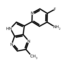 Cc1cnc2[nH]cc(-c3cc(N)c(F)cn3)c2n1